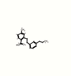 CCCc1cccc(CCc2cc(C)ccc2C(=O)O)c1